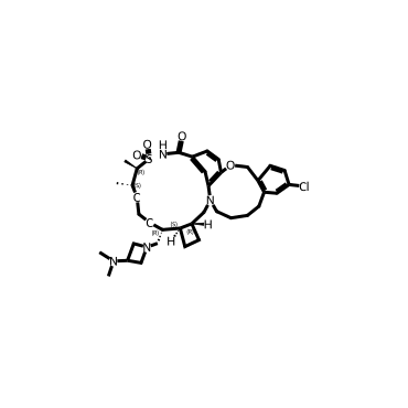 C[C@@H]1[C@@H](C)CCC[C@@H](CN2CC(N(C)C)C2)[C@@H]2CC[C@H]2CN2CCCCc3cc(Cl)ccc3COc3ccc(cc32)C(=O)NS1(=O)=O